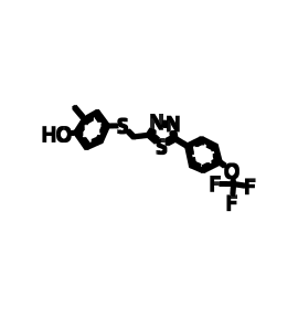 Cc1cc(SCc2nnc(-c3ccc(OC(F)(F)F)cc3)s2)ccc1O